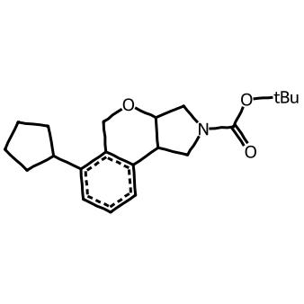 CC(C)(C)OC(=O)N1CC2OCc3c(C4CCCC4)cccc3C2C1